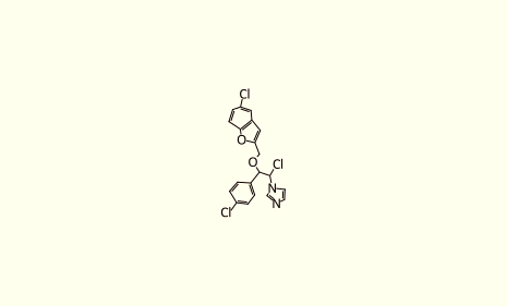 Clc1ccc(C(OCc2cc3cc(Cl)ccc3o2)C(Cl)n2ccnc2)cc1